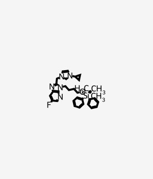 CC(C)(C)[Si](OCCCCn1c(CN2C=CN(C3CC3)C2)nc2cc(F)cnc21)(c1ccccc1)c1ccccc1